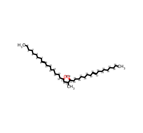 CCCCCCCCC=CCCCCCCCC(=O)CC(C)C(=O)CCCCCCCC=CCCCCCCCC